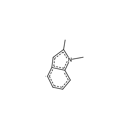 Cc1cc2[c]cccc2n1C